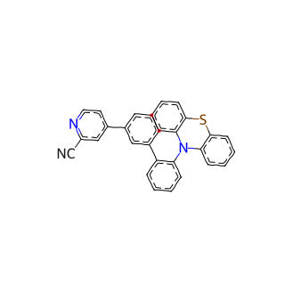 N#Cc1cc(-c2cccc(-c3ccccc3N3c4ccccc4Sc4ccccc43)c2)ccn1